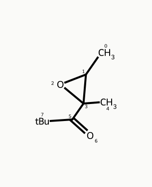 CC1OC1(C)C(=O)C(C)(C)C